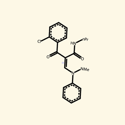 CCCNC(=O)/C(=C\N(NC)c1ccccc1)C(=O)c1ccccc1Cl